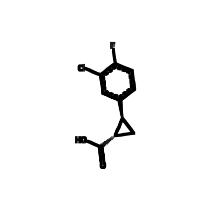 O=C(O)[C@H]1C[C@@H]1c1ccc(F)c(Cl)c1